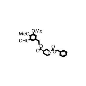 COc1cc(CCOC(=O)[C@@H]2CCCN(C(=O)OCc3ccccc3)C2)cc(C=O)c1OC